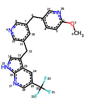 COc1ccc(Cc2[c]ncc(Cc3c[nH]c4ncc(C(F)(F)F)cc34)c2)cn1